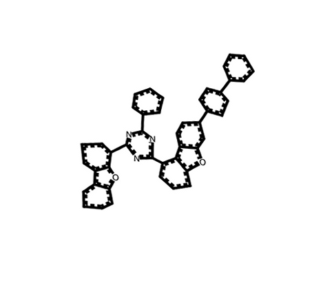 c1ccc(-c2ccc(-c3ccc4c(c3)oc3cccc(-c5nc(-c6ccccc6)nc(-c6cccc7c6oc6ccccc67)n5)c34)cc2)cc1